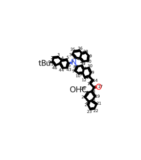 CC(C)(C)c1ccc2cc(N(c3ccc4cc(C=CC(=O)c5cc6ccccc6cc5C=O)ccc4c3)c3cccc4ccccc34)ccc2c1